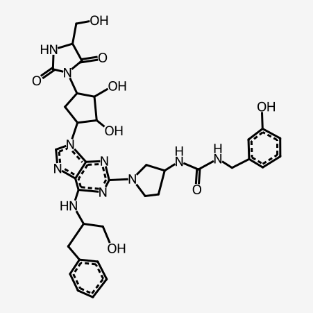 O=C(NCc1cccc(O)c1)NC1CCN(c2nc(NC(CO)Cc3ccccc3)c3ncn(C4CC(N5C(=O)NC(CO)C5=O)C(O)C4O)c3n2)C1